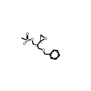 CS(=O)(=O)OC[C@H](COCc1ccccc1)[C@H]1CO1